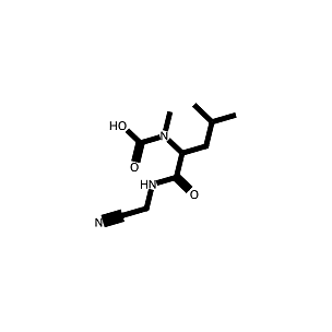 CC(C)CC(C(=O)NCC#N)N(C)C(=O)O